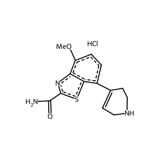 COc1ccc(C2=CCNCC2)c2sc(C(N)=O)nc12.Cl